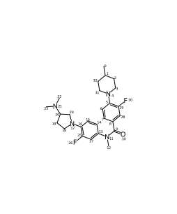 CC1CCN(c2ccc(C(=O)N(C)c3ccc(N4CCC(N(C)C)C4)c(F)c3)cc2F)CC1